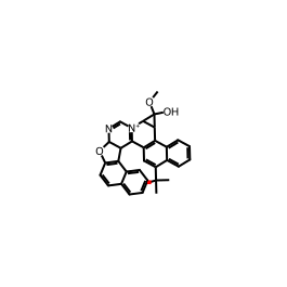 COC1(O)C2c3c(cc(C(C)(C)C)c4ccccc34)C3=[N+](C=NC4Oc5ccc6ccccc6c5C34)C21